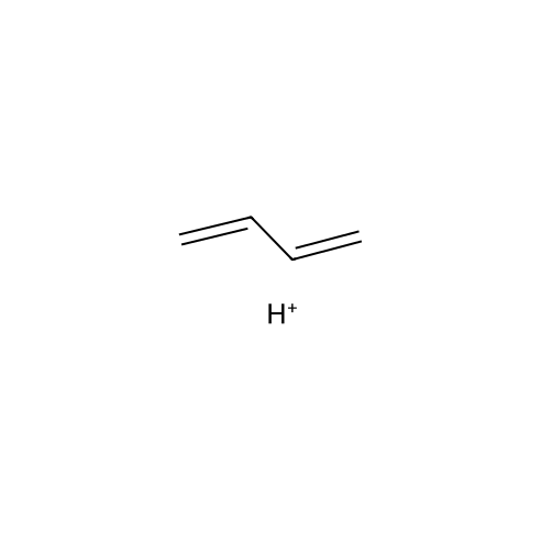 C=CC=C.[H+]